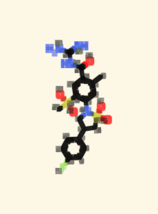 Cc1cc(N2CC(c3ccc(F)cc3)CS2(=O)=O)c(S(C)(=O)=O)cc1C(=O)NC(=N)N